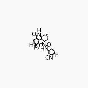 CN(C(=O)Nc1ccc(F)c(C#N)c1)C1CSCc2[nH]c(=O)c3cc(F)c(F)cc3c21